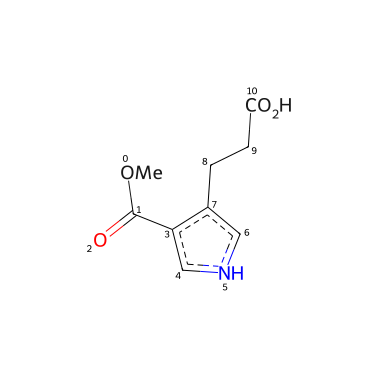 COC(=O)c1c[nH]cc1CCC(=O)O